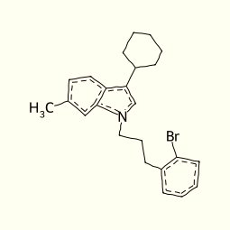 Cc1ccc2c(C3CCCCC3)cn(CCCc3ccccc3Br)c2c1